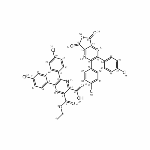 CCOC(=O)c1nc(-c2ccc(Cl)cc2)c(-c2ccc(Cl)cc2)nc1C(=O)O.O=C1OC(=O)c2nc(-c3ccc(Cl)cc3)c(-c3ccc(Cl)cc3)nc21